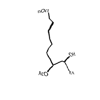 CCCCCCCCCCCCC(OC(C)=O)C(O)CC